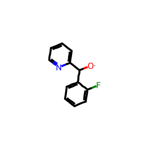 [O]C(c1ccccn1)c1ccccc1F